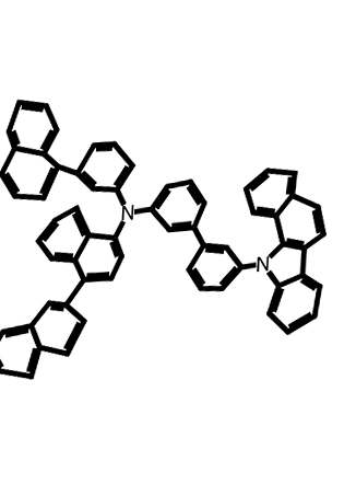 c1cc(-c2cccc(-n3c4ccccc4c4ccc5ccccc5c43)c2)cc(N(c2cccc(-c3cccc4ccccc34)c2)c2ccc(-c3ccc4ccccc4c3)c3ccccc23)c1